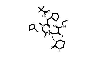 CCNC(=O)C(=O)[C@H](C[C@@H]1CCCNC1=O)NC(=O)[C@H](CC1CCC1)N(C)C(=O)[C@H](NC(=O)C(C)(C)C)C1CCCC1